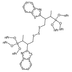 CCCO[Si](OCCC)(OCCC)C(C)C(CSSSCC(c1nc2ccccc2s1)C(C)[Si](OCCC)(OCCC)OCCC)c1nc2ccccc2s1